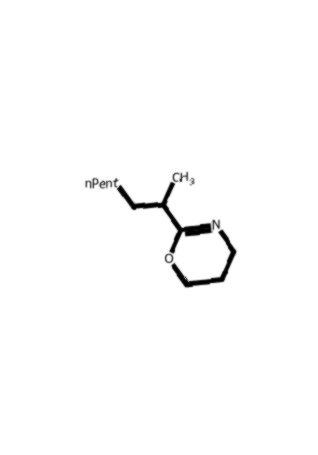 CCCCCCC(C)C1=NCCCO1